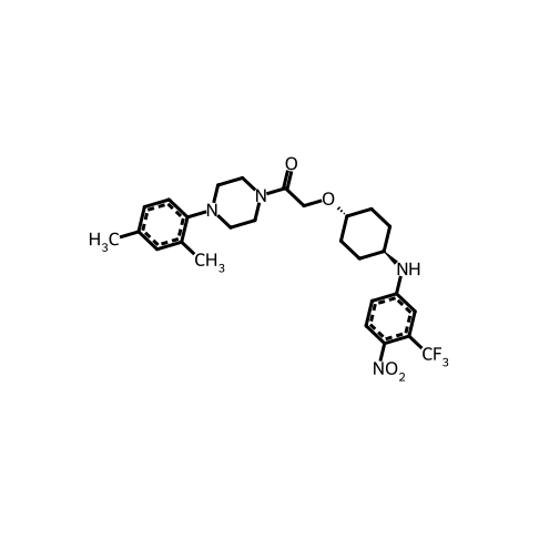 Cc1ccc(N2CCN(C(=O)CO[C@H]3CC[C@H](Nc4ccc([N+](=O)[O-])c(C(F)(F)F)c4)CC3)CC2)c(C)c1